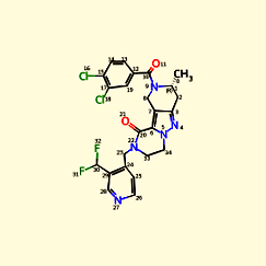 C[C@@H]1Cc2nn3c(c2CN1C(=O)c1ccc(Cl)c(Cl)c1)C(=O)N(Cc1ccncc1C(F)F)CC3